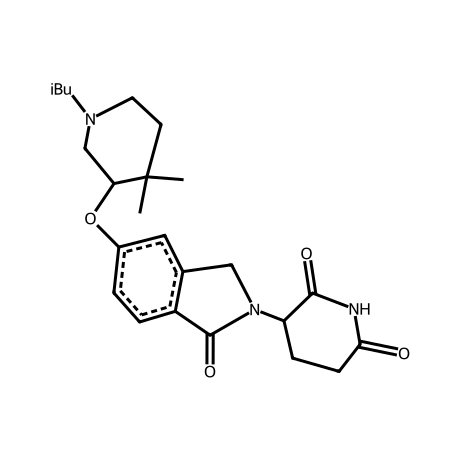 CCC(C)N1CCC(C)(C)C(Oc2ccc3c(c2)CN(C2CCC(=O)NC2=O)C3=O)C1